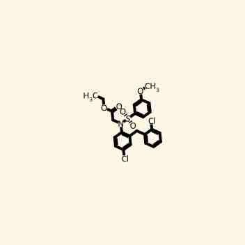 CCOC(=O)CN(c1ccc(Cl)cc1Cc1ccccc1Cl)S(=O)(=O)c1cccc(OC)c1